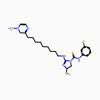 CC1CN(C(=S)Nc2cccc(Cl)c2)C(NCCCCCCCCCC2=NC=CN(C)C2)=N1